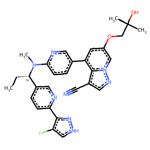 CC[C@@H](c1ccc(-c2n[nH]cc2F)nc1)N(C)c1ccc(-c2cc(OCC(C)(C)O)cn3ncc(C#N)c23)cn1